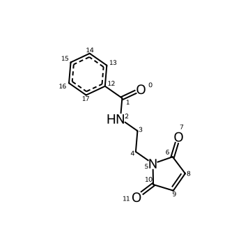 O=C(NCCN1C(=O)C=CC1=O)c1ccccc1